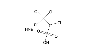 O=S(=O)(O)C(Cl)C(Cl)(Cl)Cl.[NaH]